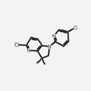 CC1(C)CN(c2ccc(Cl)cn2)c2ccc(Cl)nc21